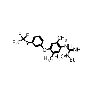 CCN(C)C(=N)Nc1cc(C)c(Oc2cccc(SC(F)(F)C(F)(F)F)c2)cc1C